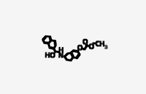 CCOC(=O)COc1ccc2c(c1)C[C@@H](NC[C@@H](O)c1ccc3ccccc3c1)CC2